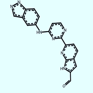 O=Cc1cc2ccc(-c3nccc(Nc4ccc5[nH]ncc5c4)n3)nc2[nH]1